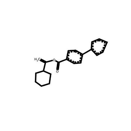 C=C(OC(=O)c1ccc(-c2ccccc2)cc1)C1CCCCC1